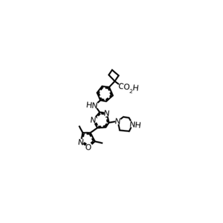 Cc1noc(C)c1-c1cc(N2CCNCC2)nc(Nc2ccc(C3(C(=O)O)CCC3)cc2)n1